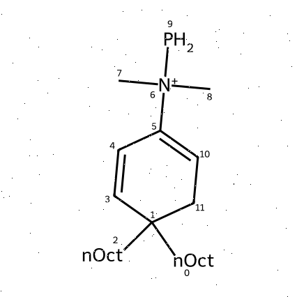 CCCCCCCCC1(CCCCCCCC)C=CC([N+](C)(C)P)=CC1